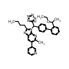 CCCCc1nc2cc(-c3cccnc3)c(C)nc2n1C(c1ccc(-c2ccccc2C(C)OCC)cc1)c1nnn[nH]1